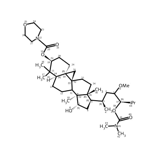 COC(C[C@@H](C)[C@H]1C[C@H](O)[C@@]2(C)C3CC[C@H]4C(C)(C)[C@@H](OC(=O)N5CCOCC5)CC[C@@]45C[C@@]35CC[C@]12C)[C@H](OC(=O)N(C)C)C(C)C